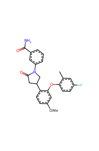 COc1ccc(C2CC(=O)N(c3cccc(C(N)=O)c3)C2)c(Oc2ccc(F)cc2C)c1